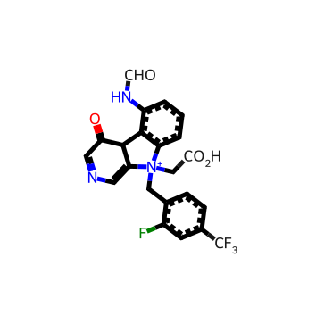 O=CNc1cccc2c1C1C(=O)C=NC=C1[N+]2(CC(=O)O)Cc1ccc(C(F)(F)F)cc1F